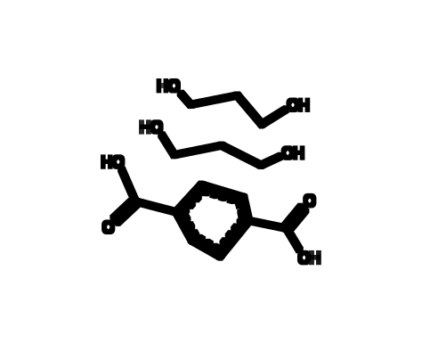 O=C(O)c1ccc(C(=O)O)cc1.OCCCO.OCCCO